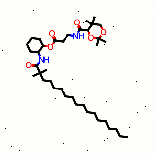 CCCCCCCCCCCCCCCCC(C)(C)C(=O)NC1CCCCC1OC(=O)CCNC(=O)C1OC(C)(C)OCC1(C)C